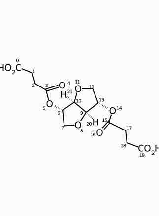 O=C(O)CCC(=O)O[C@H]1CO[C@H]2[C@@H]1OC[C@@H]2OC(=O)CCC(=O)O